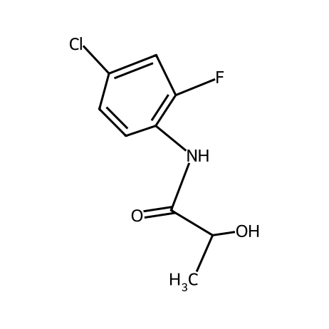 CC(O)C(=O)Nc1ccc(Cl)cc1F